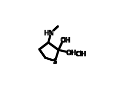 CNC1CCSC1(O)O.Cl